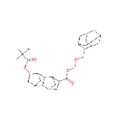 CCC(C)(C)C(=O)OC1CC2CC1C1C3CC(CC3C(=O)OCOCC3C4CC5CC(C4)CC3C5)C21